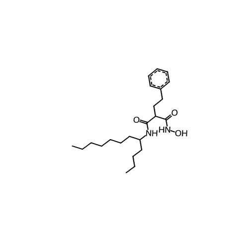 CCCCCCCC(CCCC)NC(=O)C(CCc1ccccc1)C(=O)NO